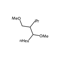 CCCCCCC(OC)C(COC)C(C)C